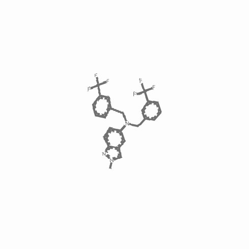 Cn1cc2cc(N(Cc3cccc(C(F)(F)F)c3)Cc3cccc(C(F)(F)F)c3)ccc2n1